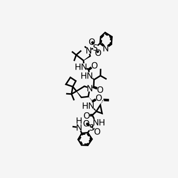 C=C[C@@H]1C[C@]1(NC(=O)[C@@H]1C[C@@]2(CN1C(=O)[C@@H](NC(=O)N[C@H](CN(C)S(=O)(=O)c1ccccn1)C(C)(C)C)C(C)C)C(C)(C)C21CCC1)C(=O)NS(=O)(=O)c1ccccc1NC